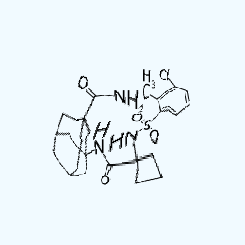 Cc1c(Cl)cccc1S(=O)(=O)NC1(C(=O)NC23CC4CC(C2)CC(C(N)=O)(C4)C3)CCC1